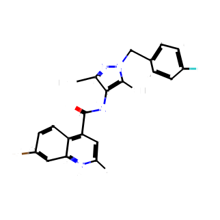 Cc1cc(C(=O)Nc2c(C)nn(Cc3ccc(F)cc3)c2C)c2ccc(Br)cc2n1